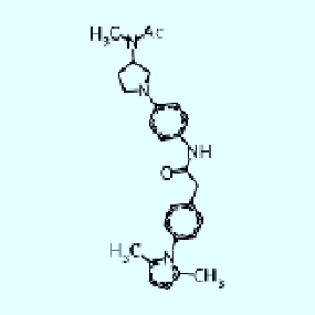 CC(=O)N(C)C1CCN(c2ccc(NC(=O)Cc3ccc(-n4c(C)ccc4C)cc3)cc2)C1